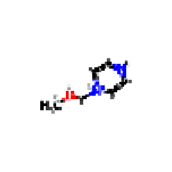 COC[n+]1ccncc1